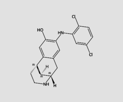 Oc1cc2c(cc1Nc1cc(Cl)ccc1Cl)C[C@@H]1NCC[C@]23CCCC[C@H]13